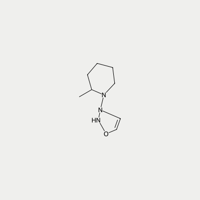 CC1CCCCN1N1C=CON1